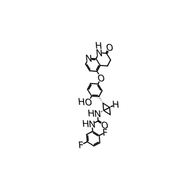 O=C1CCc2c(Oc3ccc(O)c([C@@H]4[C@@H]5C[C@@]45NC(=O)Nc4cc(F)ccc4F)c3)ccnc2N1